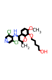 C=C1C=C(Nc2c(Cl)cncc2Cl)c2ccc(OC)c(OCCCCCO)c2O1